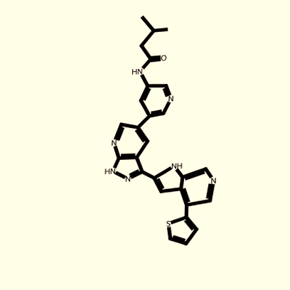 CC(C)CC(=O)Nc1cncc(-c2cnc3[nH]nc(-c4cc5c(-c6cccs6)cncc5[nH]4)c3c2)c1